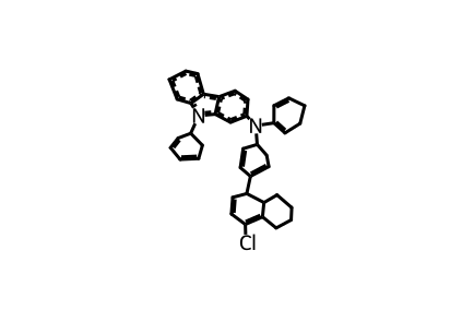 ClC1=C2CCCCC2C(C2=CCC(N(C3=CCCC=C3)c3ccc4c5ccccc5n(C5C=CC=CC5)c4c3)C=C2)C=C1